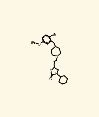 CC(C)Oc1ccc(Br)c(CC2CCN(CCC3CN(C4CCCCC4)C(=O)S3)CC2)c1